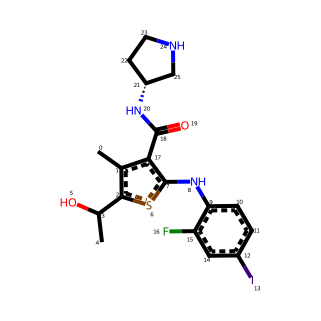 Cc1c(C(C)O)sc(Nc2ccc(I)cc2F)c1C(=O)N[C@@H]1CCNC1